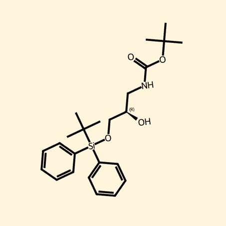 CC(C)(C)OC(=O)NC[C@@H](O)CO[Si](c1ccccc1)(c1ccccc1)C(C)(C)C